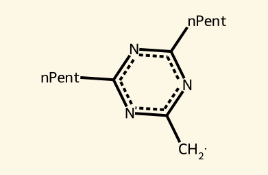 [CH2]c1nc(CCCCC)nc(CCCCC)n1